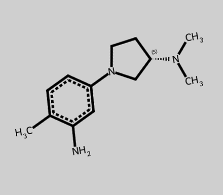 Cc1ccc(N2CC[C@H](N(C)C)C2)cc1N